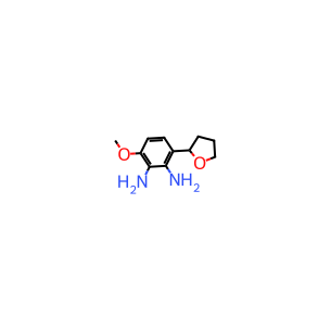 COc1ccc(C2CCCO2)c(N)c1N